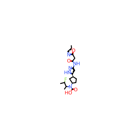 Cc1cnc(CC(=O)Nc2cc([C@H]3CC[C@@H](N(C(=O)O)C(C)C(C)F)C3)[nH]n2)o1